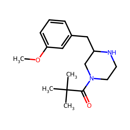 COc1cccc(CC2CN(C(=O)C(C)(C)C)CCN2)c1